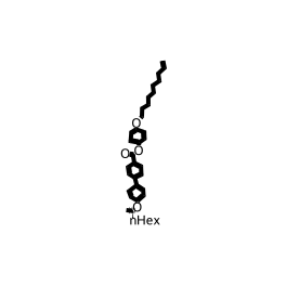 C=CCCCCCCCCOc1ccc(OC(=O)c2ccc(-c3ccc(O[C@@H](C)CCCCCC)cc3)cc2)cc1